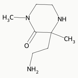 CN1CCNC(C)(CCN)C1=O